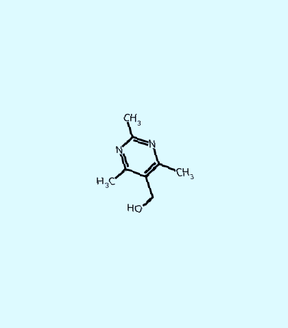 Cc1nc(C)c(CO)c(C)n1